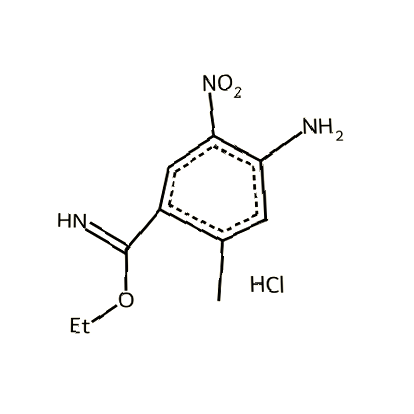 CCOC(=N)c1cc([N+](=O)[O-])c(N)cc1C.Cl